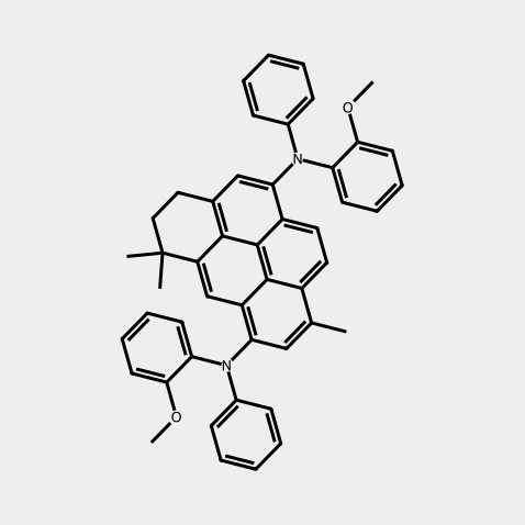 COc1ccccc1N(c1ccccc1)c1cc(C)c2ccc3c(N(c4ccccc4)c4ccccc4OC)cc4c5c(cc1c2c35)C(C)(C)CC4